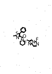 Cc1nc(C(=O)N2CCCC[C@H]2Cc2cn3c(F)nccc3n2)c(-c2ccccc2)s1